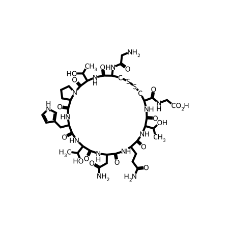 CC(O)C1NC(=O)C(CCC(N)=O)NC(=O)C(CC(N)=O)NC(=O)C(C(C)O)NC(=O)C(Cc2cc[nH]c2)NC(=O)C2CCCN2C(=O)C(C(C)O)NC(=O)C(NC(=O)CN)CSSCC(C(=O)NCC(=O)O)NC1=O